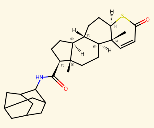 C[C@]12C=CC(=O)S[C@@H]1CC[C@@H]1[C@@H]2CC[C@]2(C)[C@@H](C(=O)NC3C4CC5CC(C4)CC3C5)CC[C@@H]12